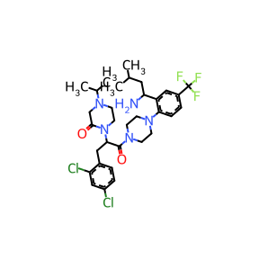 CC(C)CC(N)c1cc(C(F)(F)F)ccc1N1CCN(C(=O)C(Cc2ccc(Cl)cc2Cl)N2CCN(C(C)C)CC2=O)CC1